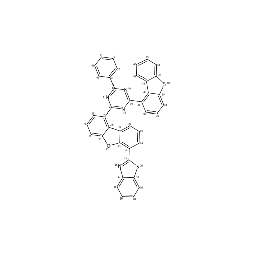 c1ccc(-c2nc(-c3cccc4oc5c(-c6nc7ccccc7s6)cccc5c34)nc(-c3cccc4sc5ccccc5c34)n2)cc1